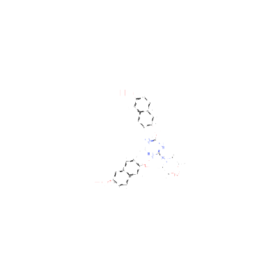 Oc1ccc2cc(OC3=NCN(Oc4ccc5cc(O)ccc5c4)C(N4CCOCC4)=N3)ccc2c1